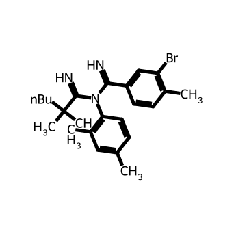 CCCCC(C)(C)C(=N)N(C(=N)c1ccc(C)c(Br)c1)c1ccc(C)cc1C